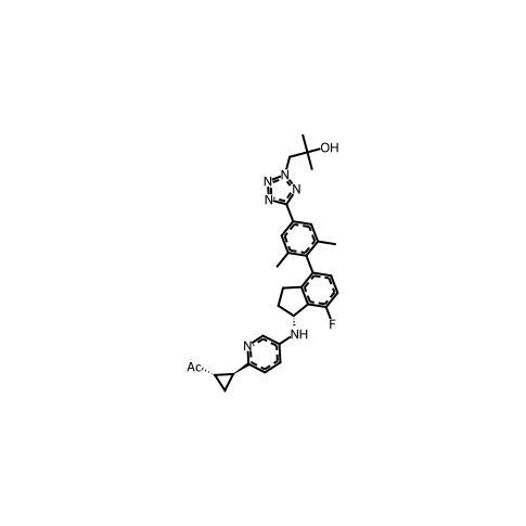 CC(=O)[C@H]1C[C@@H]1c1ccc(N[C@@H]2CCc3c(-c4c(C)cc(-c5nnn(CC(C)(C)O)n5)cc4C)ccc(F)c32)cn1